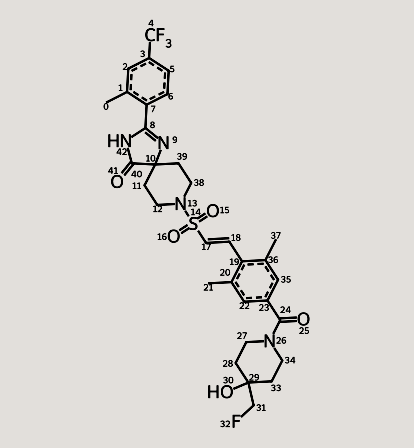 Cc1cc(C(F)(F)F)ccc1C1=NC2(CCN(S(=O)(=O)C=Cc3c(C)cc(C(=O)N4CCC(O)(CF)CC4)cc3C)CC2)C(=O)N1